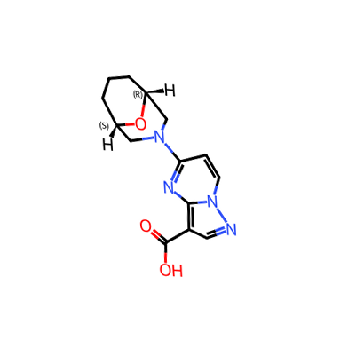 O=C(O)c1cnn2ccc(N3C[C@H]4CCC[C@@H](C3)O4)nc12